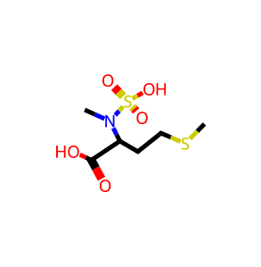 CSCCC(C(=O)O)N(C)S(=O)(=O)O